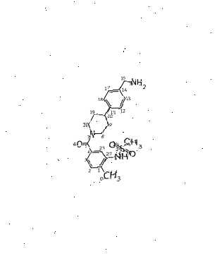 Cc1ccc(C(=O)N2CCC(c3ccc(CN)cc3)CC2)cc1NS(C)(=O)=O